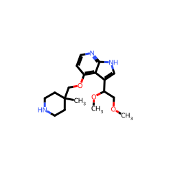 COCC(OC)c1c[nH]c2nccc(OCC3(C)CCNCC3)c12